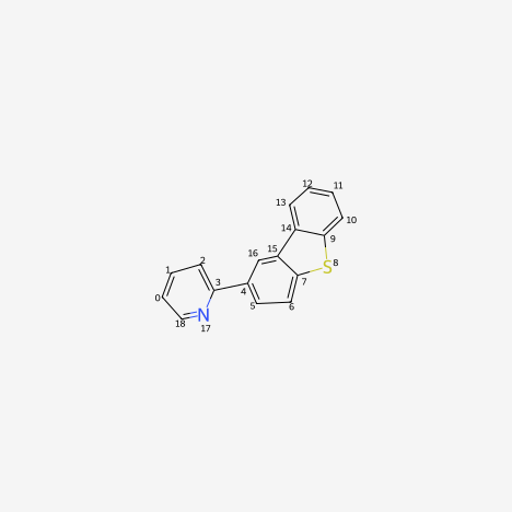 c1ccc(-c2ccc3sc4ccccc4c3c2)nc1